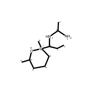 CCC(NC(C)N)[Si]1(C)CCCC(C)O1